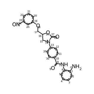 Nc1ccccc1NC(=O)c1ccc(N2CC(COc3cccc(N=O)c3)OC2=O)cc1